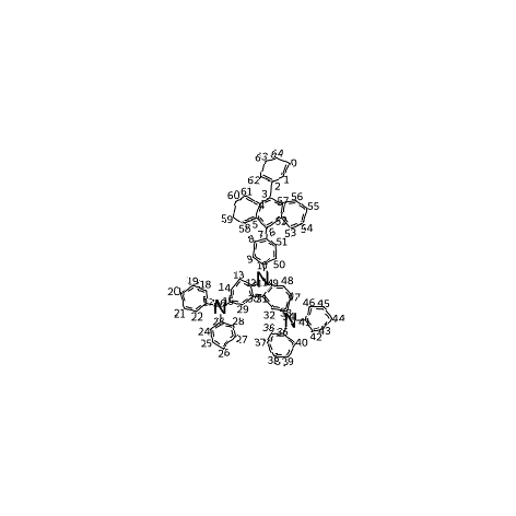 C1=CC(c2c3c(c(-c4ccc(-n5c6ccc(N(c7ccccc7)c7ccccc7)cc6c6cc(N(c7ccccc7)c7ccccc7)ccc65)cc4)c4ccccc24)=CCCC=3)=CCC1